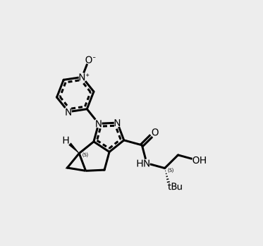 CC(C)(C)[C@@H](CO)NC(=O)c1nn(-c2c[n+]([O-])ccn2)c2c1CC1C[C@H]21